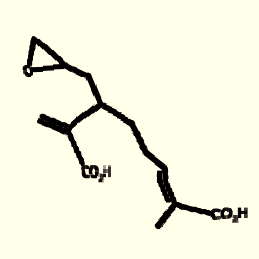 C=C(C(=O)O)C(CCC=C(C)C(=O)O)CC1CO1